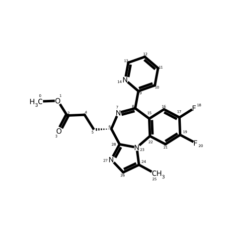 COC(=O)CC[C@@H]1N=C(c2ccccn2)c2cc(F)c(F)cc2-n2c(C)cnc21